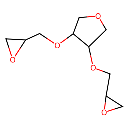 C1OC1COC1COCC1OCC1CO1